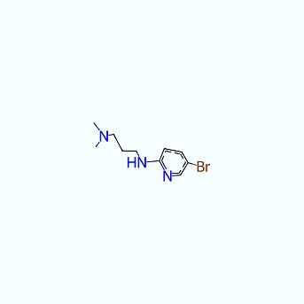 CN(C)CCCNc1ccc(Br)cn1